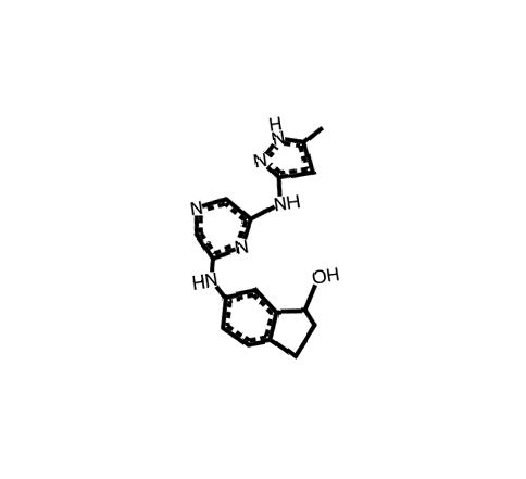 Cc1cc(Nc2cncc(Nc3ccc4c(c3)C(O)CC4)n2)n[nH]1